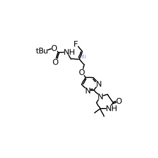 CC1(C)CN(c2ncc(OC/C(=C/F)CNC(=O)OC(C)(C)C)cn2)CC(=O)N1